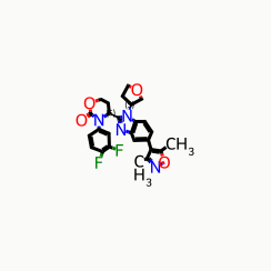 Cc1noc(C)c1-c1ccc2c(c1)nc([C@@H]1CCOC(=O)N1c1ccc(F)c(F)c1)n2[C@H]1CCOC1